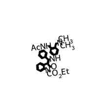 CCOC(=O)N1C(=O)/C(=C(\Nc2ccc(CN(C)C)c(NC(C)=O)c2)c2ccccc2)c2ccccc21